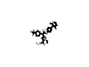 CCn1nc(C(C(=O)Nc2ccc(-c3c(C)ccnc3C)cc2)C2CCC(C(F)(F)F)CC2)cc1C(N)=O